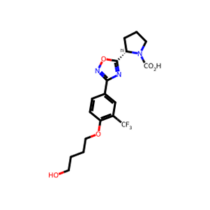 O=C(O)N1CCC[C@H]1c1nc(-c2ccc(OCCCCO)c(C(F)(F)F)c2)no1